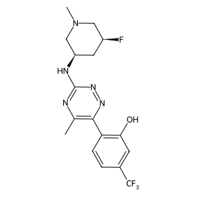 Cc1nc(N[C@@H]2C[C@H](F)CN(C)C2)nnc1-c1ccc(C(F)(F)F)cc1O